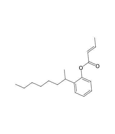 C/C=C/C(=O)Oc1ccccc1C(C)CCCCCC